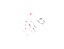 CC(=O)OC[C@H]1O[C@@H](Oc2cccc(C)c2Br)[C@H](NS(C)(=O)=O)[C@@H](OC(C)=O)[C@H]1OC(C)=O